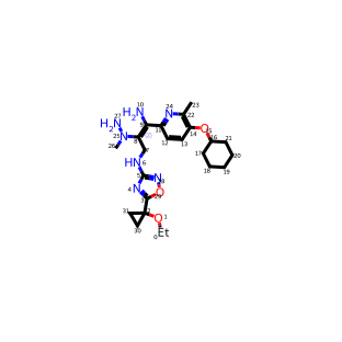 CCOC1(c2nc(NC/C(=C(/N)c3ccc(OC4CCCCC4)c(C)n3)N(C)N)no2)CC1